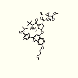 C=C[C@@H]1C[C@]1(NC(=O)[C@@H]1C[C@@H](Oc2cc(-c3csc(NC(C)C)n3)nc3cc(OCCOC)ccc23)CN1C(=O)[C@@H](N)C(C)(C)C)C(=O)OC